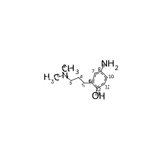 CN(C)CCCc1cc(N)ccc1O